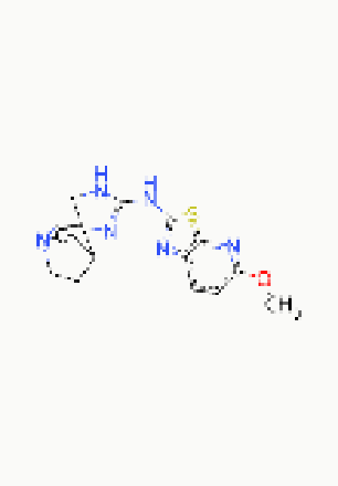 COc1ccc2nc(NC3=NC4(CN3)CN3CCC4CC3)sc2n1